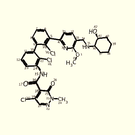 COc1nc(-c2cccc(-c3cccc(NC(=O)c4c(Cl)cnn(C)c4=O)c3Cl)c2Cl)ccc1CNC1CCCC[C@@H]1O